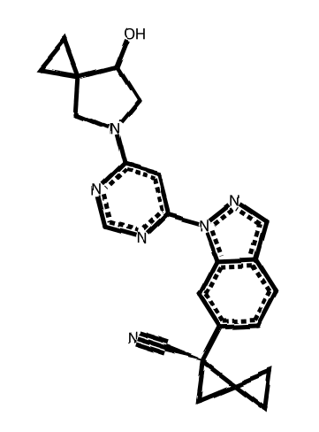 N#C[C@]1(c2ccc3cnn(-c4cc(N5CC(O)C6(CC6)C5)ncn4)c3c2)CC12CC2